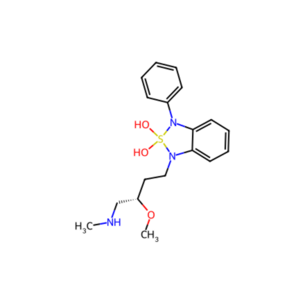 CNC[C@H](CCN1c2ccccc2N(c2ccccc2)S1(O)O)OC